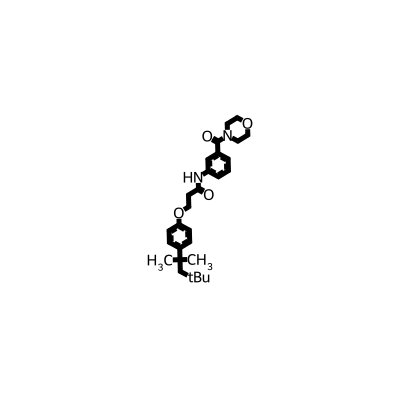 CC(C)(C)CC(C)(C)c1ccc(OCCC(=O)Nc2cccc(C(=O)N3CCOCC3)c2)cc1